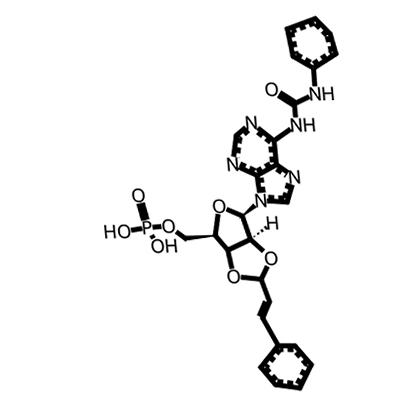 O=C(Nc1ccccc1)Nc1ncnc2c1ncn2[C@@H]1O[C@H](COP(=O)(O)O)C2OC(/C=C/c3ccccc3)O[C@@H]21